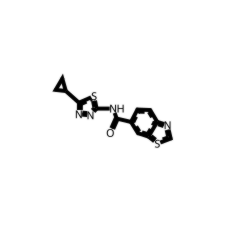 O=C(Nc1nnc(C2CC2)s1)c1ccc2ncsc2c1